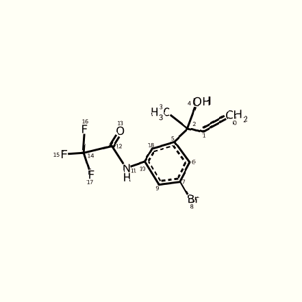 C=CC(C)(O)c1cc(Br)cc(NC(=O)C(F)(F)F)c1